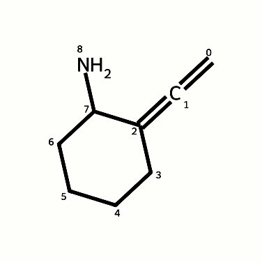 C=C=C1CCCCC1N